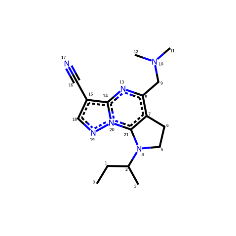 CCC(C)N1CCc2c(CN(C)C)nc3c(C#N)cnn3c21